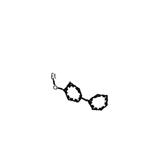 CCOc1ccc(-c2cc[c]cc2)cc1